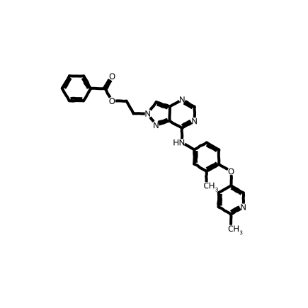 Cc1ccc(Oc2ccc(Nc3ncnc4cn(CCOC(=O)c5ccccc5)nc34)cc2C)cn1